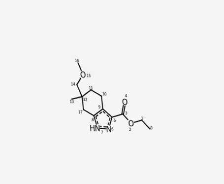 CCOC(=O)c1n[nH]c2c1CCC(C)(COC)C2